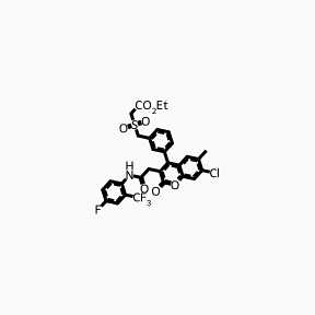 CCOC(=O)CS(=O)(=O)Cc1cccc(-c2c(CC(=O)Nc3ccc(F)cc3C(F)(F)F)c(=O)oc3cc(Cl)c(C)cc23)c1